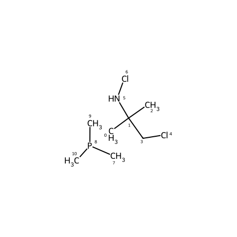 CC(C)(CCl)NCl.CP(C)C